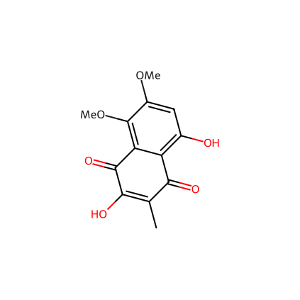 COc1cc(O)c2c(c1OC)C(=O)C(O)=C(C)C2=O